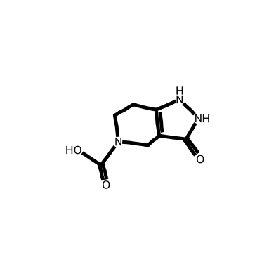 O=C(O)N1CCc2[nH][nH]c(=O)c2C1